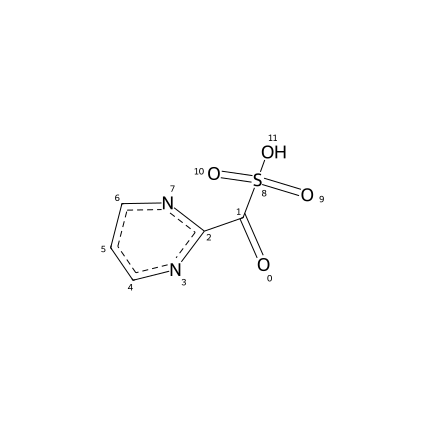 O=C(c1ncccn1)S(=O)(=O)O